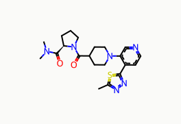 Cc1nnc(-c2ccncc2N2CCC(C(=O)N3CCC[C@@H]3C(=O)N(C)C)CC2)s1